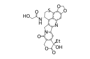 CC[C@@]1(O)C(=O)OCc2c1cc1n(c2=O)Cc2c-1nc1cc3c(c4c1c2[C@H](NC(=O)CO)CS4)OCO3